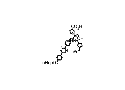 CCCCCCCOc1ccc(-c2cnc(-c3ccc(C[C@H](NC(O)c4ccc(CC(C)C)s4)C(=O)N4CC[C@H](C(=O)O)C4)cc3)nc2)cc1